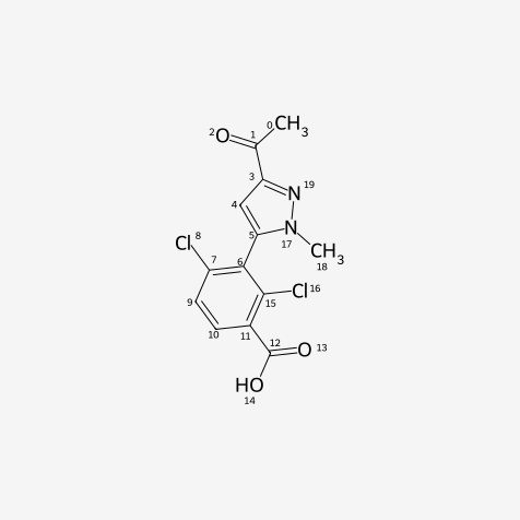 CC(=O)c1cc(-c2c(Cl)ccc(C(=O)O)c2Cl)n(C)n1